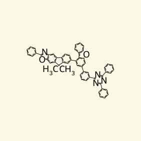 CC1(C)c2cc(-c3cc(-c4cccc(-c5nc(-c6ccccc6)nc(-c6ccccc6)n5)c4)cc4oc5ccccc5c34)ccc2-c2cc3nc(-c4ccccc4)oc3cc21